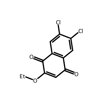 CCOC1=CC(=O)c2cc(Cl)c(Cl)cc2C1=O